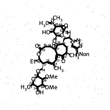 CCCCCCCCCc1cn(CC[C@H]2C[C@@H](C)C(=O)/C3=C/C(C)=C/[C@H](COC4OC(C)C(O)C(OC)C4OC)[C@@H](CC)OC(=O)CC[C@H]3[C@H]2O[C@@H]2O[C@@H]3OC3C(N(C)C)C2O)nn1